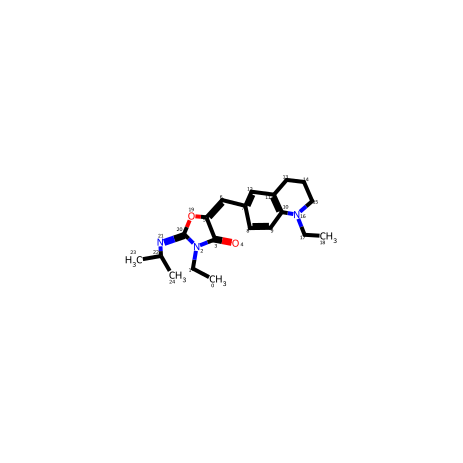 CCN1C(=O)/C(=C\c2ccc3c(c2)CCCN3CC)O/C1=N/C(C)C